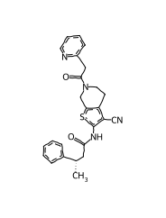 C[C@@H](CC(=O)Nc1sc2c(c1C#N)CCN(C(=O)Cc1ccccn1)C2)c1ccccc1